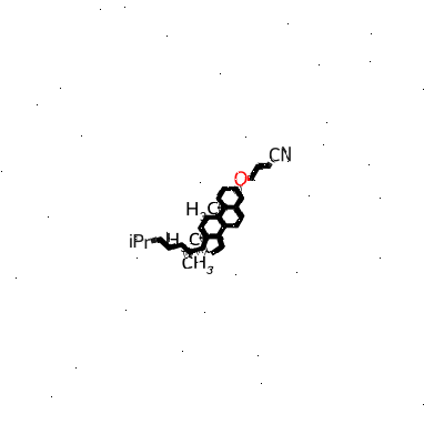 CC(C)CCC[C@@H](C)[C@H]1CCC2C3CC=C4C[C@@H](OCCCC#N)CC[C@]4(C)C3CC[C@@]21C